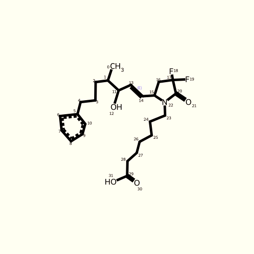 CC(CCCc1ccccc1)C(O)/C=C/C1CC(F)(F)C(=O)N1CCCCCCC(=O)O